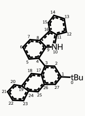 CC(C)(C)c1cc(-c2cccc3c2[nH]c2ccccc23)c2cc3ccccc3cc2c1